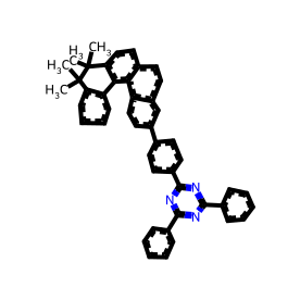 CC1(C)c2ccccc2-c2c(ccc3ccc4cc(-c5ccc(-c6nc(-c7ccccc7)nc(-c7ccccc7)n6)cc5)ccc4c23)C1(C)C